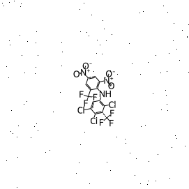 O=[N+]([O-])c1cc([N+](=O)[O-])c(Nc2cc(Cl)c(Cl)c(C(F)(F)F)c2Cl)c(C(F)(F)F)c1